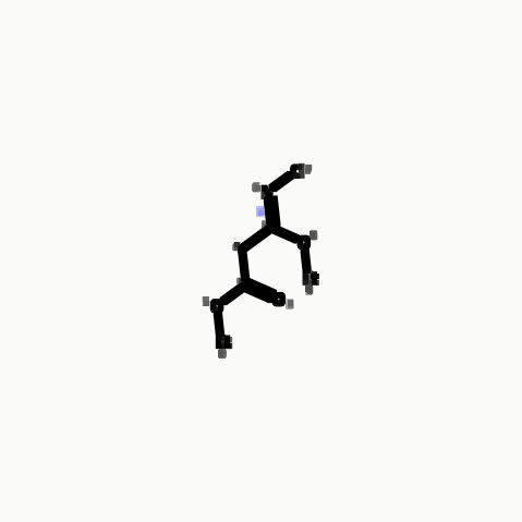 CCOC(=O)C/C(=N/Cl)OCC